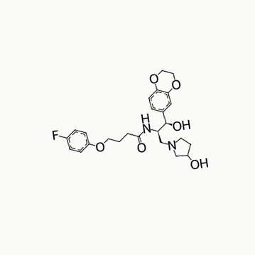 O=C(CCCOc1ccc(F)cc1)N[C@H](CN1CCC(O)C1)[C@H](O)c1ccc2c(c1)OCCO2